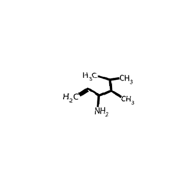 C=CC(N)C(C)C(C)C